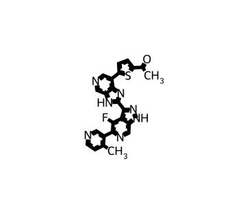 CC(=O)c1ccc(-c2cncc3[nH]c(-c4n[nH]c5cnc(-c6cnccc6C)c(F)c45)nc23)s1